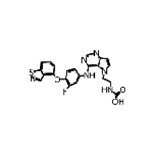 O=C(O)NCCn1ccc2ncnc(Nc3ccc(Oc4cccc5sncc45)c(F)c3)c21